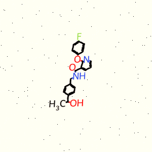 CC(O)c1ccc(CNC(=O)c2cccnc2Oc2ccc(F)cc2)cc1